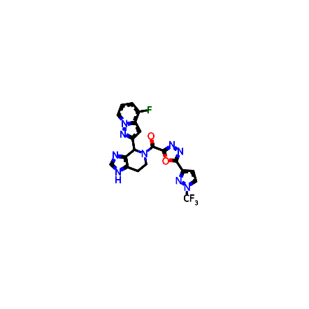 O=C(c1nnc(-c2ccn(C(F)(F)F)n2)o1)N1CCc2[nH]cnc2C1c1cc2c(F)cccn2n1